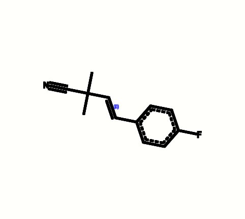 CC(C)(C#N)/C=C/c1ccc(F)cc1